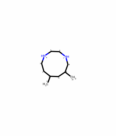 CC1CCNCCNCC(C)C1